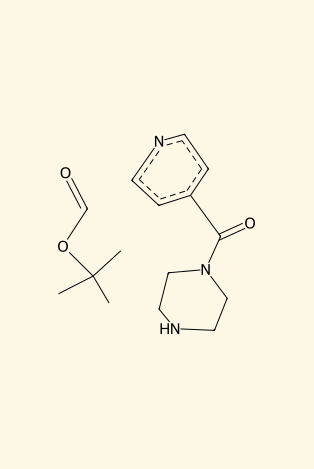 CC(C)(C)OC=O.O=C(c1ccncc1)N1CCNCC1